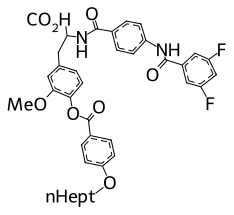 CCCCCCCOc1ccc(C(=O)Oc2ccc(CC(NC(=O)c3ccc(NC(=O)c4cc(F)cc(F)c4)cc3)C(=O)O)cc2OC)cc1